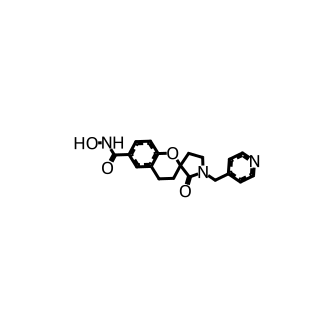 O=C(NO)c1ccc2c(c1)CCC1(CCN(Cc3ccncc3)C1=O)O2